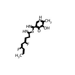 C\C=C/C(F)=C\C(F)=C\CC(=N)SC(=N)c1c[nH]c(C)c(O)c1=O